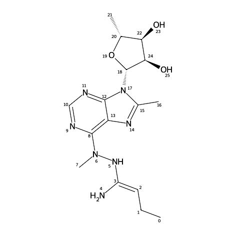 CC/C=C(\N)NN(C)c1ncnc2c1nc(C)n2[C@@H]1O[C@H](C)[C@@H](O)[C@H]1O